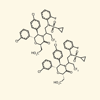 O=C(O)C[C@@H]1O[C@H](c2cccc(Cl)c2)[C@@H](c2ccc(Cl)cc2)N(C(CN(c2ccccc2F)S(=O)(=O)C2CC2)CC(F)(F)F)C1=O.O=C(O)C[C@H]1O[C@H](c2cccc(Cl)c2)[C@@H](c2ccc(Cl)cc2)N(C(CN(c2ccccc2F)S(=O)(=O)C2CC2)CC(F)(F)F)C1=O